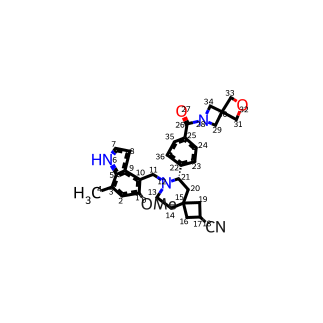 COc1cc(C)c2[nH]ccc2c1CN1CCC2(CC(C#N)C2)C[C@H]1c1ccc(C(=O)N2CC3(COC3)C2)cc1